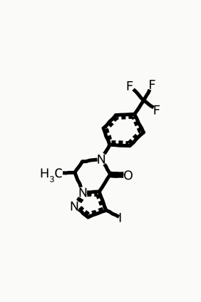 CC1CN(c2ccc(C(F)(F)F)cc2)C(=O)c2c(I)cnn21